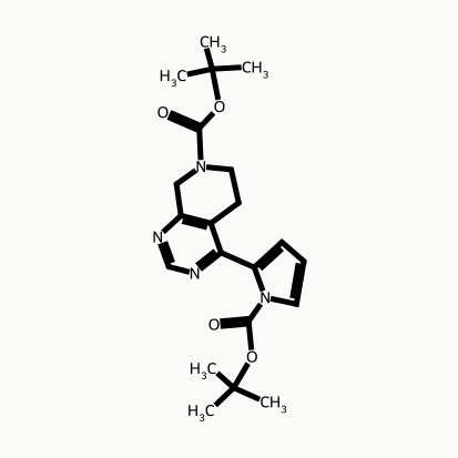 CC(C)(C)OC(=O)N1CCc2c(ncnc2-c2cccn2C(=O)OC(C)(C)C)C1